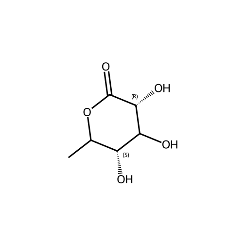 CC1OC(=O)[C@H](O)C(O)[C@@H]1O